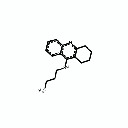 CCCCNc1c2c(nc3ccccc13)CCCC2